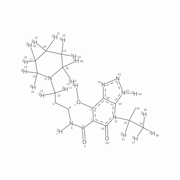 [2H]Oc1c(C(=O)N([2H])CCC([2H])([2H])N2C([2H])([2H])C([2H])([2H])C([2H])([2H])C([2H])([2H])C2([2H])[2H])c(=O)n(C([2H])(C)C([2H])([2H])[2H])c2c1nnn2[2H]